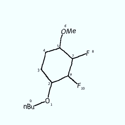 CCCCOC1CCC(OC)C(F)C1F